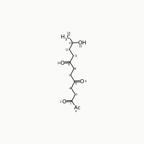 CC(=O)C(=O)CCC(=O)CCC(=O)CCC(C)O